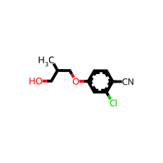 CC(CO)COc1ccc(C#N)c(Cl)c1